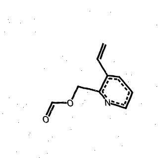 C=Cc1cccnc1COC=O